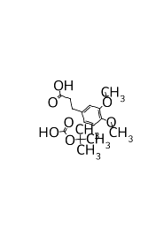 CC(C)(C)OC(=O)O.COc1ccc(CCC(=O)O)cc1OC